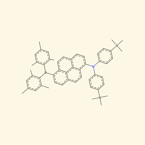 Cc1cc(C)c(B(c2c(C)cc(C)cc2C)c2ccc3ccc4c(N(c5ccc([Si](C)(C)C)cc5)c5ccc([Si](C)(C)C)cc5)ccc5ccc2c3c54)c(C)c1